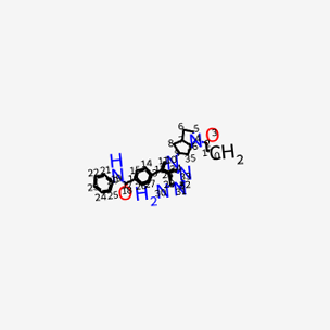 C=CC(=O)N1CCC2CC(n3cc(-c4ccc(C(=O)Nc5ccccc5)cc4)c4c(N)ncnc43)CC21